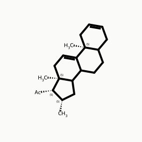 CC(=O)[C@H]1[C@@H](C)CC2C3CCC4CC=CC[C@]4(C)C3=CC[C@@]21C